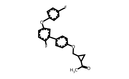 CC(=O)C1CC1COc1ccc(-c2cc(Oc3ccc(F)cc3)ccc2F)cc1